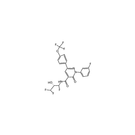 O=C(NC(F)[C@@H](O)C(F)F)c1cc(-c2ccc(OC(F)(F)F)cc2)nn(-c2cccc(F)c2)c1=O